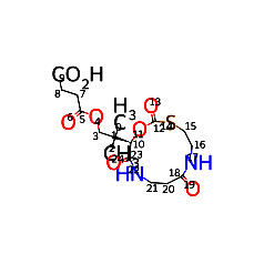 CC(C)(COC(=O)CCC(=O)O)[C@H]1OC(=O)SCCNC(=O)CCNC1=O